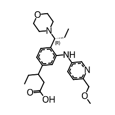 CCC(CC(=O)O)c1ccc([C@@H](CC)N2CCOCC2)c(Nc2ccc(COC)nc2)c1